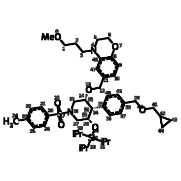 COCCCN1CCOc2ccc(CO[C@H]3CN(S(=O)(=O)c4ccc(C)cc4)C[C@@H](O[Si](C(C)C)(C(C)C)C(C)C)[C@H]3c3ccc(COCC4CC4)cc3)cc21